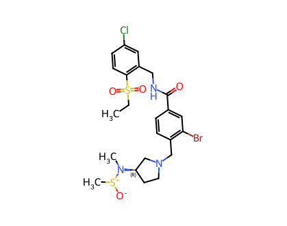 CCS(=O)(=O)c1ccc(Cl)cc1CNC(=O)c1ccc(CN2CC[C@@H](N(C)[S+](C)[O-])C2)c(Br)c1